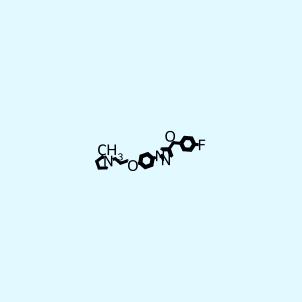 C[C@@H]1CCCN1CCCOc1ccc(-n2cc(C(=O)c3ccc(F)cc3)cn2)cc1